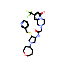 O=C(CN1CCn2c(cc(C(F)(F)F)cc2=O)C1)NC1CN(C2CCCOCC2)C[C@@H]1SCc1cccnc1